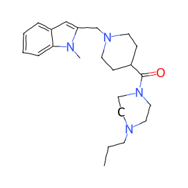 CCCN1CCN(C(=O)C2CCN(Cc3cc4ccccc4n3C)CC2)CC1